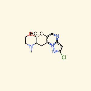 CN1CCOCC1Cc1c(C(=O)O)cnc2cc(Cl)nn12